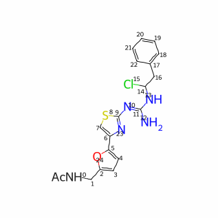 CC(=O)NCc1ccc(-c2csc(N=C(N)NC(Cl)Cc3ccccc3)n2)o1